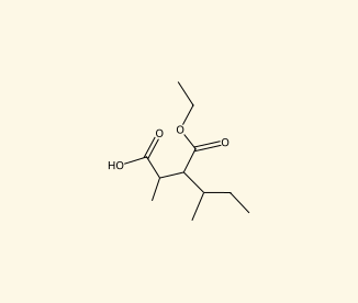 CCOC(=O)C(C(C)CC)C(C)C(=O)O